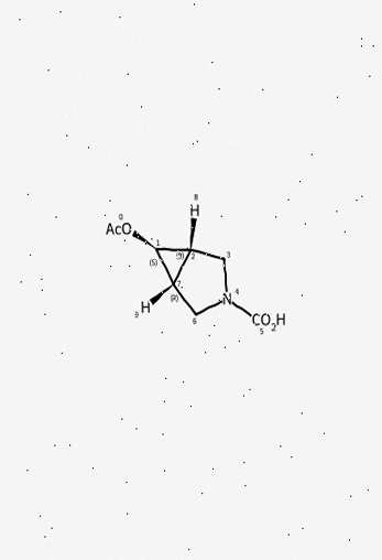 CC(=O)O[C@H]1[C@@H]2CN(C(=O)O)C[C@@H]21